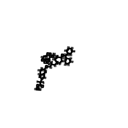 CC(C)(C)OC(=O)C(C)(C)c1cn2nc(OCCCN3CCC(OC(c4ccccc4)c4ccccc4)CC3)ccc2n1.O=C(O)C=CC(=O)O.O=C(O)C=CC(=O)O